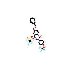 O=c1c2ccc(OCc3ccccc3)cc2c(OS(=O)(=O)C(F)(F)F)nn1-c1ccc(OC(F)(F)F)cc1